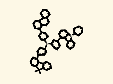 CC1(C)c2ccccc2-c2c(-c3ccc(N(c4ccc(-c5cccc6c5ccc5ccccc56)cc4)c4cccc(-c5cccc6c5c5ccccc5n6-c5ccccc5)c4)cc3)cccc21